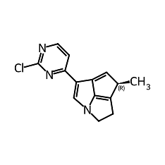 C[C@@H]1C=c2c(-c3ccnc(Cl)n3)cn3c2=C1CC3